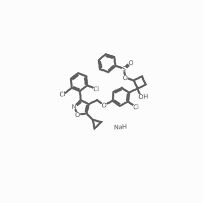 O=S(OC1CCC1(O)c1ccc(OCc2c(-c3c(Cl)cccc3Cl)noc2C2CC2)cc1Cl)c1ccccc1.[NaH]